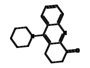 O=C1CCCc2c1nc1ccccc1c2N1CCCCC1